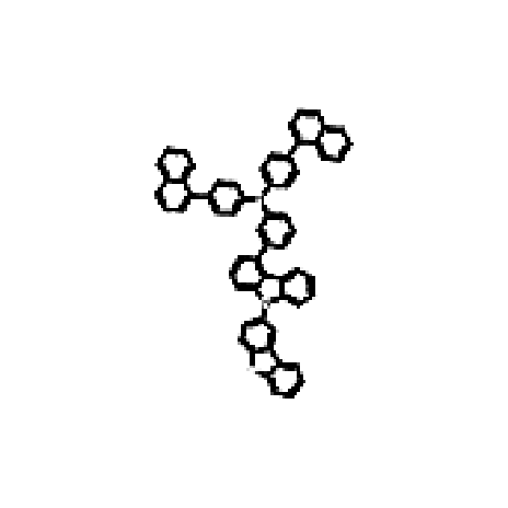 c1cc(-c2cccc3c2c2ccccc2n3-c2ccc3oc4ccccc4c3c2)cc(N(c2ccc(-c3cccc4ccccc34)cc2)c2ccc(-c3cccc4ccccc34)cc2)c1